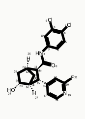 O=C(Nc1ccc(Cl)c(Cl)c1)[C@@H]1[C@H]2C[C@@H]([C@H]1c1ccnc(F)c1)[C@H](O)C2